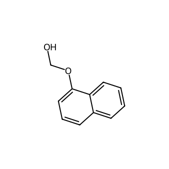 OCOc1cccc2ccccc12